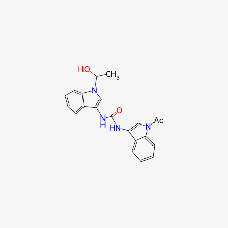 CC(=O)n1cc(NC(=O)Nc2cn(C(C)O)c3ccccc23)c2ccccc21